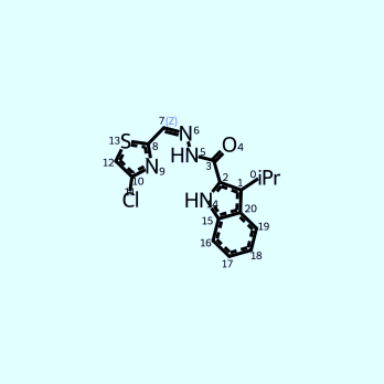 CC(C)c1c(C(=O)N/N=C\c2nc(Cl)cs2)[nH]c2ccccc12